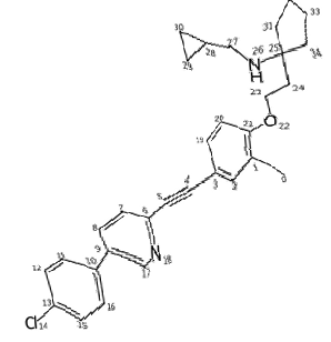 Cc1cc(C#Cc2ccc(-c3ccc(Cl)cc3)cn2)ccc1OCCC1(NCC2CC2)CCCC1